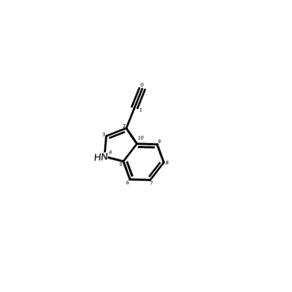 C#Cc1c[nH]c2ccccc12